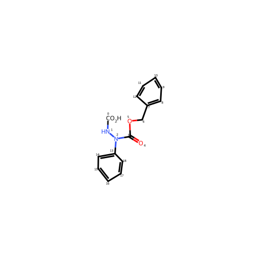 O=C(O)NN(C(=O)OCc1ccccc1)c1ccccc1